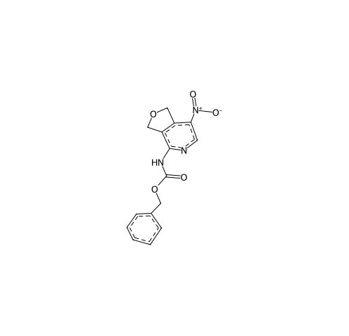 O=C(Nc1ncc([N+](=O)[O-])c2c1COC2)OCc1ccccc1